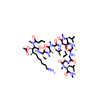 CCCC(=O)N(C)C(C(=O)N[C@@H](CC)C(=O)N(C)[C@H](C)C(=O)N(C)[C@@H](CC(C)C)C(=O)N[C@H](C(=O)N(C)[C@@H](CC(C)C)C(=O)N[C@H](C)C(=O)NCC(=O)N(C)[C@@H](CC(C)C)C(=O)N(C)[C@@H](CC(C)C)C(=O)NC)C(C)C)[C@H](OC(C)=O)[C@H](C)CCCCCCN